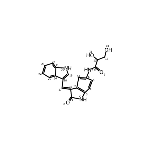 O=C1Nc2ccc(NC(=O)C(O)CO)cc2/C1=C\c1c[nH]c2ccccc12